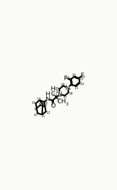 CC(C)(C(=O)NC1C2CC3CC(C2)CC1C3)N1CCN(c2ccc(F)cc2F)CC1